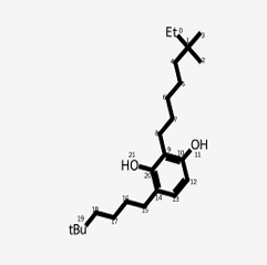 CCC(C)(C)CCCCCc1c(O)ccc(CCCCC(C)(C)C)c1O